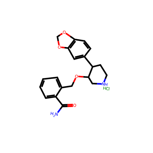 Cl.NC(=O)c1ccccc1COC1CNCCC1c1ccc2c(c1)OCO2